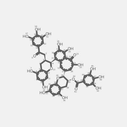 O=C(C[C@@H]1Cc2c(O)cc(O)cc2O[C@@H]1c1cc(O)c(O)c2c(=O)c(O)cc([C@H]3Oc4cc(O)cc(O)c4C[C@H]3OC(=O)c3cc(O)c(O)c(O)c3)cc12)c1cc(O)c(O)c(O)c1